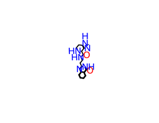 O=C(NCCc1nc2ccccc2c(=O)[nH]1)C1NCCc2[nH]cnc21